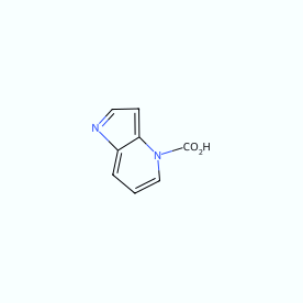 O=C(O)n1cccc2nccc1-2